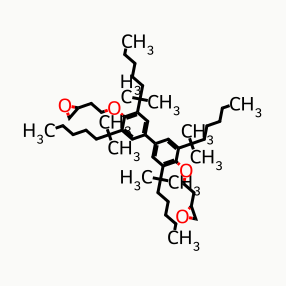 CCCCCC(C)(C)c1cc(-c2cc(C(C)(C)CCCCC)c(OCCC3CO3)c(C(C)(C)CCCCC)c2)cc(C(C)(C)CCCCC)c1OCCC1CO1